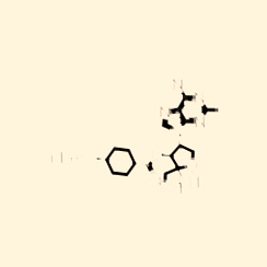 CCCCC[C@H]1CC[C@H](C(=O)O[C@H]2[C@H](n3cnc4c(N)nc(F)nc43)CO[C@]2(C)CO)CC1